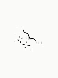 NCCCCN.O=P(O)(O)OP(=O)(O)O